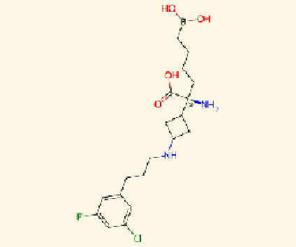 N[C@](CCCCB(O)O)(C(=O)O)C1CC(NCCCc2cc(F)cc(Cl)c2)C1